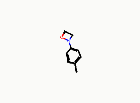 Cc1ccc(N2CCO2)cc1